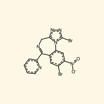 O=[N+]([O-])c1cc2c(cc1Br)C(c1ccccn1)=NCc1nnc(Br)n1-2